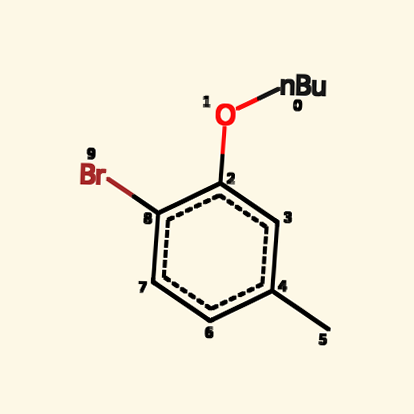 CCCCOc1cc(C)ccc1Br